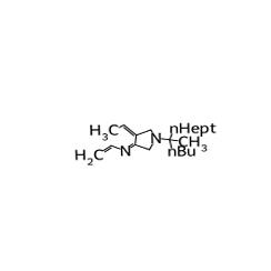 C=C/N=C1/CN(C(C)(CCCC)CCCCCCC)C/C1=C/C